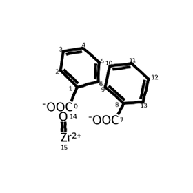 O=C([O-])c1ccccc1.O=C([O-])c1ccccc1.[O]=[Zr+2]